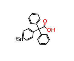 O=C(O)C(c1ccccc1)(c1ccccc1)c1ccccc1.[Sn]